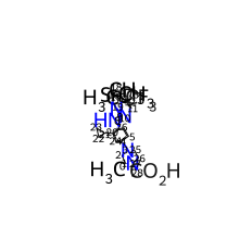 CC1CN(c2ccc(Nc3ncc(C(F)(F)F)[c]([Sn]([CH3])([CH3])[CH3])n3)c(C3CC3)c2)CCN1C(=O)O